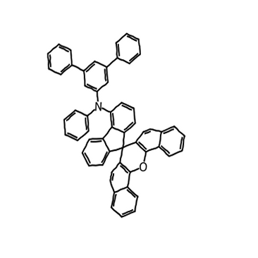 c1ccc(-c2cc(-c3ccccc3)cc(N(c3ccccc3)c3cccc4c3-c3ccccc3C43c4ccc5ccccc5c4Oc4c3ccc3ccccc43)c2)cc1